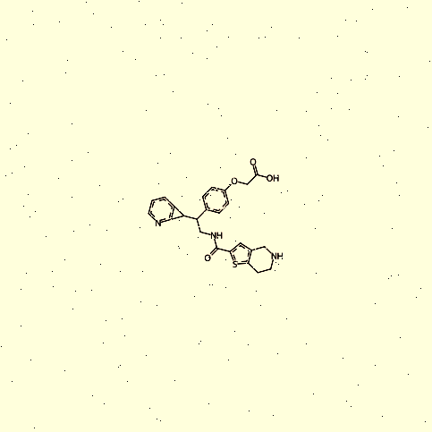 O=C(O)COc1ccc(C(CNC(=O)c2cc3c(s2)CCNC3)C2c3cccnc32)cc1